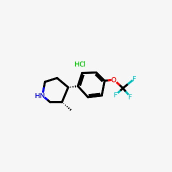 C[C@@H]1CNCC[C@@H]1c1ccc(OC(F)(F)F)cc1.Cl